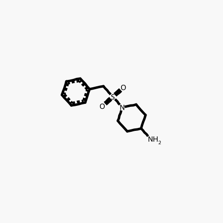 NC1CCN(S(=O)(=O)Cc2ccccc2)CC1